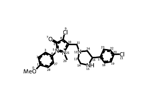 COc1ccc(-n2c(=O)c(Cl)c(CN3CCNC(c4ccc(Cl)cc4)C3)n2C)cc1